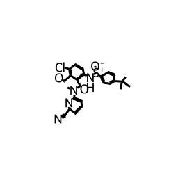 CN(C(=O)c1c(N[S+]([O-])c2ccc(C(C)(C)C)cc2)ccc(Cl)c1C=O)c1cccc(C#N)n1